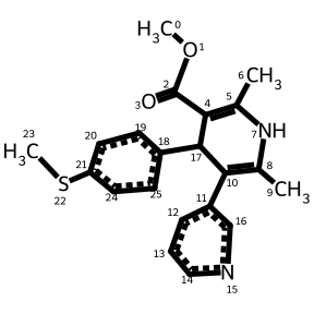 COC(=O)C1=C(C)NC(C)=C(c2cccnc2)C1c1ccc(SC)cc1